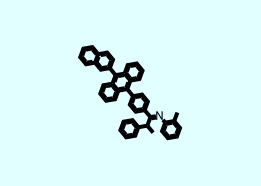 Cc1ccccc1/N=C(/c1ccc(-c2c3ccccc3c(-c3ccc4ccccc4c3)c3ccccc23)cc1)C(C)c1ccccc1